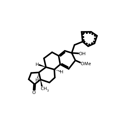 COC1C=C2C(=CC1(O)Cc1ccccc1)CC[C@@H]1[C@@H]2CC[C@]2(C)C(=O)CC[C@@H]12